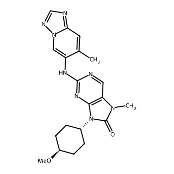 CO[C@H]1CC[C@H](n2c(=O)n(C)c3cnc(Nc4cn5ncnc5cc4C)nc32)CC1